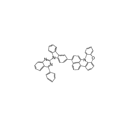 c1ccc(-c2nc(-n3c4ccccc4c4cc(-c5ccc6c7c5cccc7c5cccc7oc8ccccc8n6-c75)ccc43)nc3ccccc23)cc1